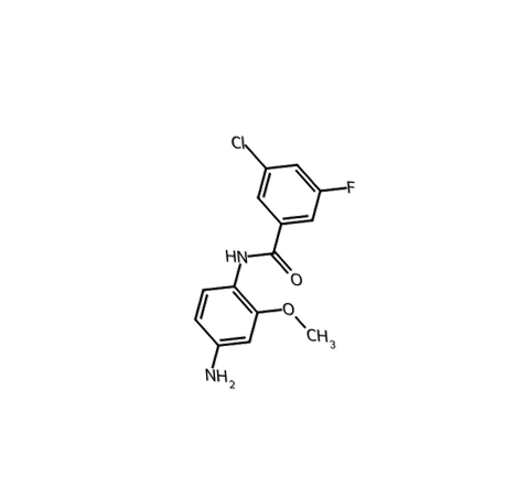 COc1cc(N)ccc1NC(=O)c1cc(F)cc(Cl)c1